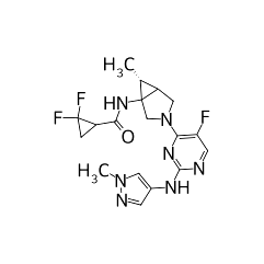 C[C@@H]1C2CN(c3nc(Nc4cnn(C)c4)ncc3F)CC21NC(=O)C1CC1(F)F